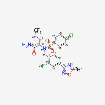 [2H]c1nc(-c2ccc(CN([C@H](CCC(F)(F)F)C(N)=O)S(=O)(=O)c3ccc(Cl)cc3)c(F)c2)no1